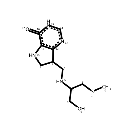 CSCC(CO)NCC1CNc2c1nc[nH]c2=O